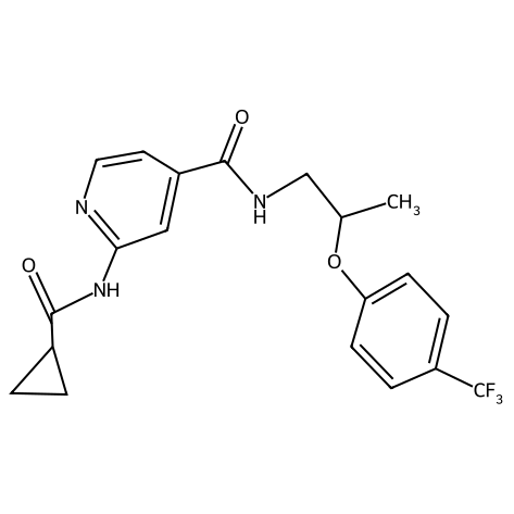 CC(CNC(=O)c1ccnc(NC(=O)C2CC2)c1)Oc1ccc(C(F)(F)F)cc1